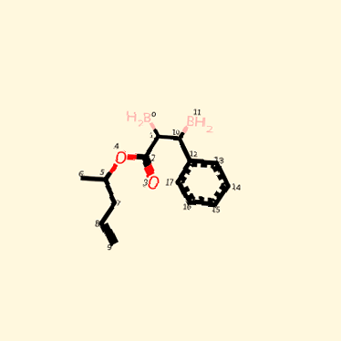 BC(C(=O)OC(C)CC=C)C(B)c1ccccc1